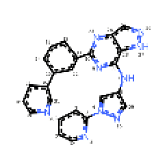 c1ccc(-n2cc(Nc3nc(-c4cccc(-c5cccnc5)c4)nc4cn[nH]c34)cn2)nc1